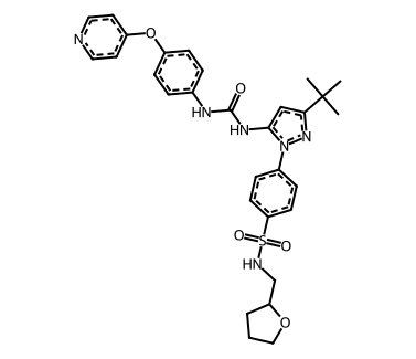 CC(C)(C)c1cc(NC(=O)Nc2ccc(Oc3ccncc3)cc2)n(-c2ccc(S(=O)(=O)NCC3CCCO3)cc2)n1